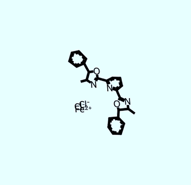 CC1N=C(c2cccc(C3=NC(C)C(c4ccccc4)O3)n2)OC1c1ccccc1.[Cl-].[Cl-].[Fe+2]